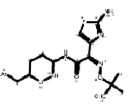 CC(=O)CC1CCC(NC(=O)/C(=N\OC(C)(C)C=O)c2csc(N)n2)BO1